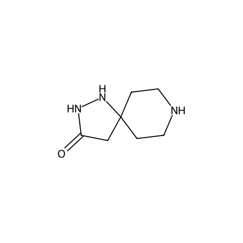 O=C1CC2(CCNCC2)NN1